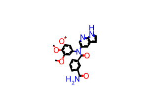 COc1cc(N(C(=O)c2cccc(C(N)=O)c2)c2cnc3[nH]ccc3c2)cc(OC)c1OC